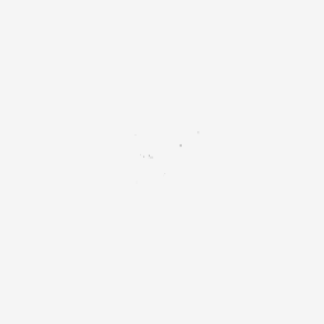 Cl.O=C(O)O.[Cl][K].[KH].[NaH]